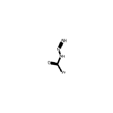 CC(C)C(=O)NN=N